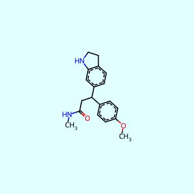 CNC(=O)CC(c1ccc(OC)cc1)c1ccc2c(c1)NCC2